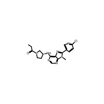 CCC(=O)N1CC[C@H](Nc2ncnc3c2nc(-c2ccc(Cl)nc2)n3C)C1